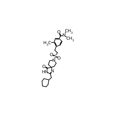 Cc1cc(C(=O)N(C)C)ccc1CCS(=O)(=O)N1CCC2(CC1)N=C(CC1CCCCC1)NC2=O